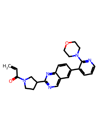 C=CC(=O)N1CCC(c2ncc3cc(-c4cccnc4N4CCOCC4)ccc3n2)C1